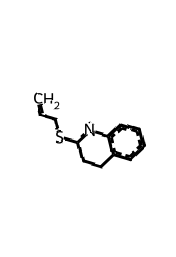 C=CCSC1CCc2ccccc2[N]1